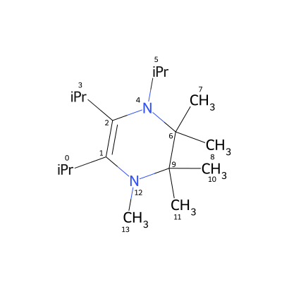 CC(C)C1=C(C(C)C)N(C(C)C)C(C)(C)C(C)(C)N1C